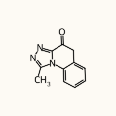 Cc1nnc2n1-c1ccccc1CC2=O